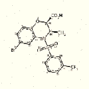 C[C@@H]1[C@H](C(=O)O)Oc2ccc(Br)cc2N1S(=O)(=O)c1cccc(C(F)(F)F)c1